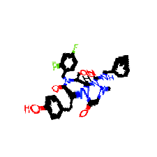 CN1CC(=O)N2[C@@H](Cc3ccc(O)cc3)C(=O)N(Cc3ccc(F)cc3F)[C@@H](CO)[C@@H]2N1C(=O)NCc1ccccc1